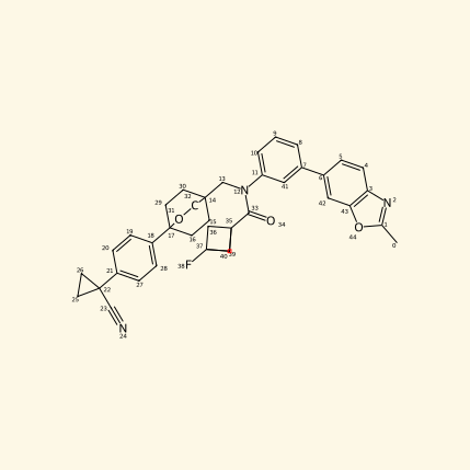 Cc1nc2ccc(-c3cccc(N(CC45CCC(c6ccc(C7(C#N)CC7)cc6)(CC4)OC5)C(=O)C45CC(F)(C4)C5)c3)cc2o1